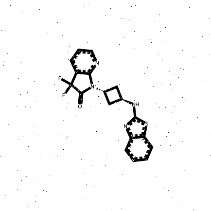 O=C1N([C@H]2C[C@H](Nc3nc4ccccc4s3)C2)c2ncccc2C1(F)F